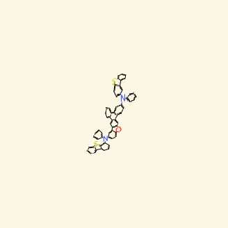 c1ccc(N(c2ccc3sc4ccccc4c3c2)c2ccc3c(c2)c2ccccc2c2cc4c(cc32)oc2ccc(N(c3ccccc3)c3cccc5c3sc3ccccc35)cc24)cc1